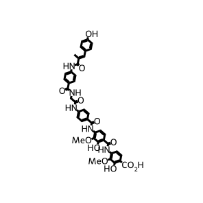 COc1c(NC(=O)c2ccc(NC(=O)c3ccc(NC(=O)CNC(=O)c4ccc(NC(=O)/C(C)=C/c5ccc(O)cc5)cc4)cc3)c(OC)c2O)ccc(C(=O)O)c1O